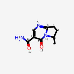 CC1CCc2ncc(C(N)=O)c(=O)n21